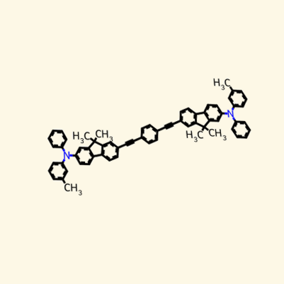 Cc1cccc(N(c2ccccc2)c2ccc3c(c2)C(C)(C)c2cc(C#Cc4ccc(C#Cc5ccc6c(c5)C(C)(C)c5cc(N(c7ccccc7)c7cccc(C)c7)ccc5-6)cc4)ccc2-3)c1